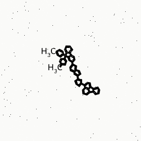 Cc1ccc(C2(c3ccc(C)cc3)c3ccccc3-c3ccc(-c4ccc5cc(-c6cccc(-c7ccc8c9c(cccc79)-c7ccccc7-8)c6)ccc5c4)cc32)cc1